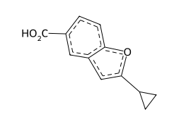 O=C(O)c1ccc2oc(C3CC3)cc2c1